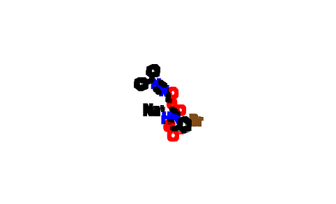 O=C(COCC(=O)N1CCN(C(c2ccccc2)c2ccccc2)CC1)Nc1cc(Br)ccc1C(=O)[O-].[Na+]